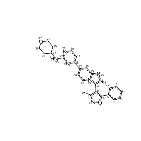 Cc1noc(-c2ccccc2)c1-c1nnc2cc(-c3ccnc(NC4CCOCC4)n3)ccn12